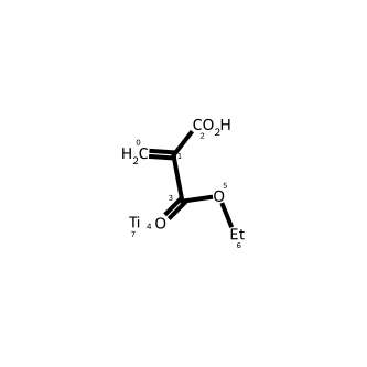 C=C(C(=O)O)C(=O)OCC.[Ti]